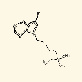 C[Si](C)(C)CCOCn1cc(Br)c2cncnc21